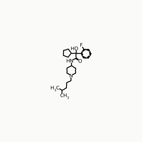 CC(C)CCCN1CCC(NC(=O)C(O)(c2ccccc2F)C2CCCC2)CC1